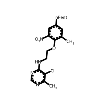 CCCCCc1cc(C)c(OCCNc2ncnc(C)c2Cl)c([N+](=O)[O-])c1